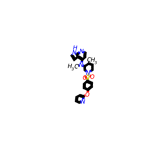 C[C@@H]1CCN(S(=O)(=O)c2ccc(Oc3ccccn3)cc2)CC1N(C)c1ccnc2[nH]ccc12